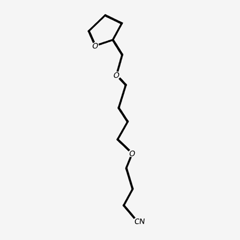 N#CCCCOCCCCOCC1CCCO1